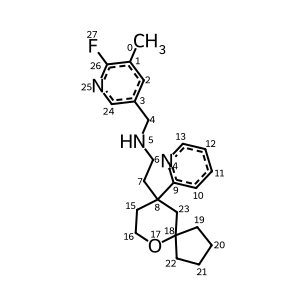 Cc1cc(CNCCC2(c3ccccn3)CCOC3(CCCC3)C2)cnc1F